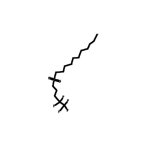 [CH2]CCCCCCCCCCS(=O)(=O)CCCC(F)(F)C(F)(F)F